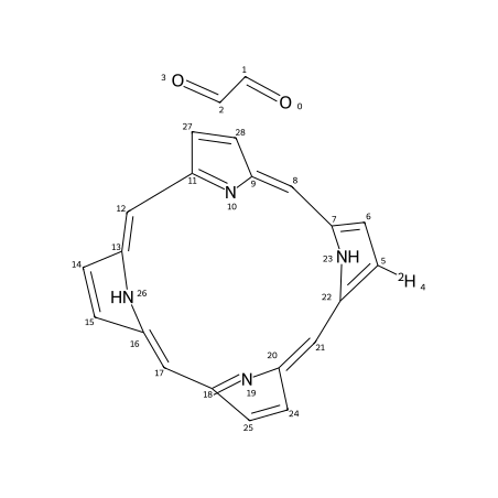 O=CC=O.[2H]c1cc2cc3nc(cc4ccc(cc5nc(cc1[nH]2)C=C5)[nH]4)C=C3